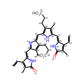 C=CC1=C(C)C(=O)N/C1=C\C1=NC(=C/c2[nH]c(/C=C3\NC(=O)C(C)=C3C=C)c(C)c2CCC(=O)O)/C(CCC(=O)O)=C1C